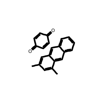 Cc1cc(C)c2cc3ccccc3cc2c1.O=C1C=CC(=O)C=C1